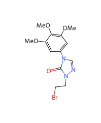 COc1cc(-n2cnn(CCBr)c2=O)cc(OC)c1OC